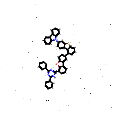 c1ccc(-c2nc(-c3ccccc3)nc(-c3cccc4c3oc3ccc(-c5cccc6sc7cc(-n8c9ccccc9c9ccccc98)ccc7c56)cc34)n2)cc1